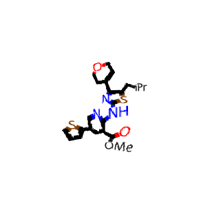 COC(=O)c1cc(-c2cccs2)cnc1Nc1nc(C2=CCOCC2)c(CC(C)C)s1